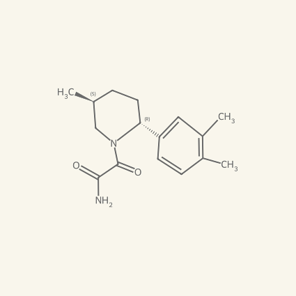 Cc1ccc([C@H]2CC[C@H](C)CN2C(=O)C(N)=O)cc1C